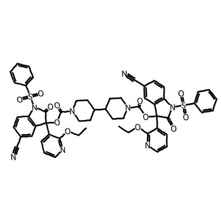 CCOc1ncccc1C1(OC(=O)N2CCC(C3CCN(C(=O)OC4(c5cccnc5OCC)C(=O)N(S(=O)(=O)c5ccccc5)c5ccc(C#N)cc54)CC3)CC2)C(=O)N(S(=O)(=O)c2ccccc2)c2ccc(C#N)cc21